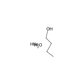 CCCCO.O.[NaH]